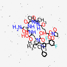 C[C@H](NC(=O)CCCC(=O)ON1C(=O)CCC1=O)C(=O)N[C@@H](C)C(=O)N[C@@H](CC(N)=O)C(=O)N[C@@H](CCN(C(=O)CO)[C@@H](c1cc(-c2cc(F)ccc2F)cn1Cc1ccccc1)C(C)(C)C)C(=O)O